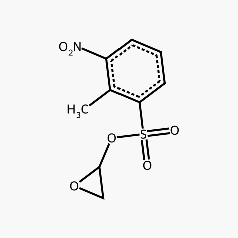 Cc1c([N+](=O)[O-])cccc1S(=O)(=O)OC1CO1